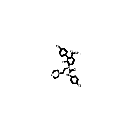 NC(=O)c1ccc(N(CCN2CCOCC2)C(=O)Nc2ccc(Cl)cc2)c(F)c1-c1ccc(Cl)cc1